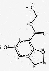 CCOC(=O)c1cc(O)cc2c1OCC2